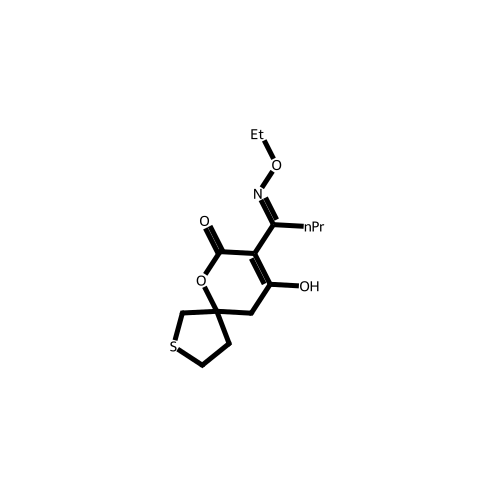 CCCC(=NOCC)C1=C(O)CC2(CCSC2)OC1=O